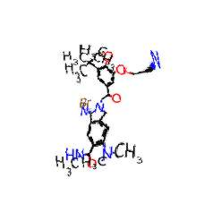 CNC(=O)c1cc2c(cc1N(C)C)CN(CC(=O)c1cc(OCC#N)c(OC)c(C(C)(C)C)c1)/C2=N\Br